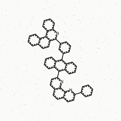 c1ccc(-c2ccc3ccc4ccc(-c5c6ccccc6c(-c6cccc(-c7nc8ccccc8c8c7ccc7ccccc78)c6)c6ccccc56)nc4c3n2)cc1